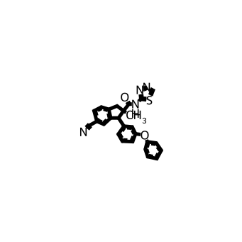 CC1(C(=O)Nc2nncs2)Cc2ccc(C#N)cc2C1c1cccc(Oc2ccccc2)c1